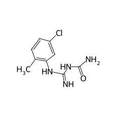 Cc1ccc(Cl)cc1NC(=N)NC(N)=O